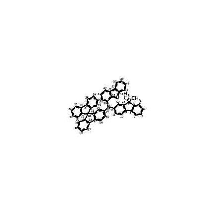 CC1(C)c2ccccc2-c2ccc(N(c3ccc4c(c3)C3(c5ccccc5-c5ccccc53)c3ccccc3-4)c3cccc4c3oc3ccccc34)cc21